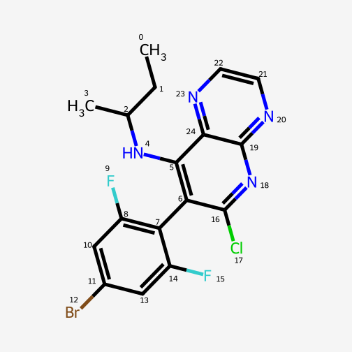 CCC(C)Nc1c(-c2c(F)cc(Br)cc2F)c(Cl)nc2nccnc12